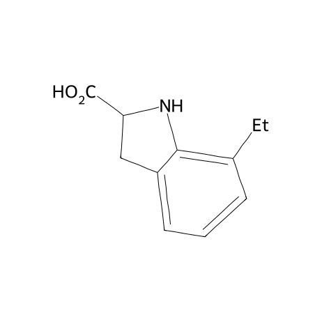 CCc1cccc2c1NC(C(=O)O)C2